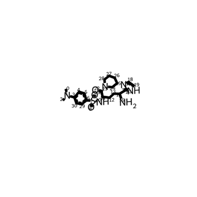 CN(C)c1ccc(S(=O)(=O)NC(CCC(N)c2ncc[nH]2)C(=O)N2CCCCC2)cc1